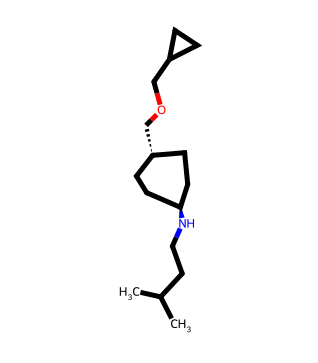 CC(C)CCN[C@H]1CC[C@H](COCC2CC2)CC1